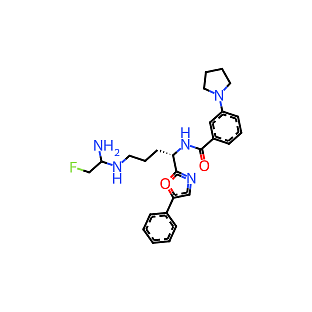 NC(CF)NCCC[C@H](NC(=O)c1cccc(N2CCCC2)c1)c1ncc(-c2ccccc2)o1